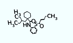 CC/C=C/C(=O)Sc1ccccc1NC(=O)C1(CC(CC)CC)CCCCC1